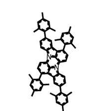 Cc1cc(C)c(-c2ccc3c(c2)c2c(-c4c(C)cc(C)cc4C)ccc4c2n3c2ccc(-c3c(C)cc(C)cc3C)c3c5cc(-c6c(C)cc(C)cc6C)ccc5n4c32)c(C)c1